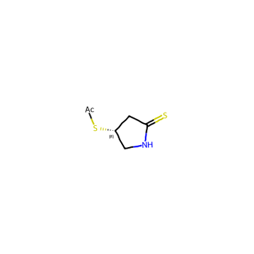 CC(=O)S[C@H]1CNC(=S)C1